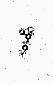 C[C@@H]1CCOc2nc3cc(C(=O)Nc4ccc(OC(F)(F)Cl)cc4)cc(-c4cncnc4)c3n21